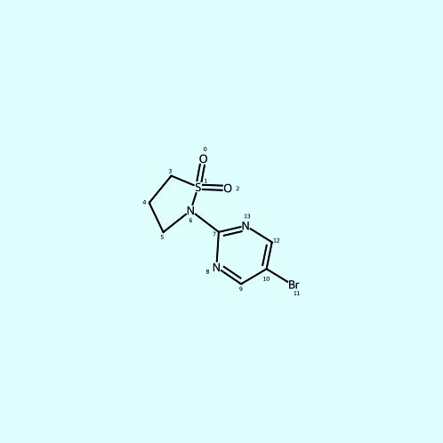 O=S1(=O)CCCN1c1ncc(Br)cn1